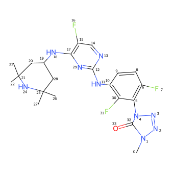 Cn1nnn(-c2c(F)ccc(Nc3ncc(F)c(NC4CC(C)(C)NC(C)(C)C4)n3)c2F)c1=O